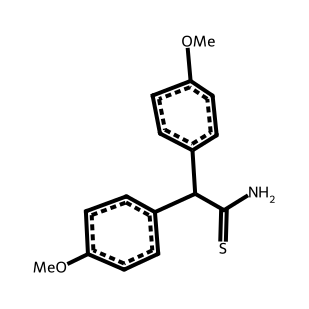 COc1ccc(C(C(N)=S)c2ccc(OC)cc2)cc1